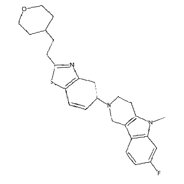 Cn1c2c(c3ccc(F)cc31)CN(C1C=Cc3sc(CCC4CCOCC4)nc3C1)CC2